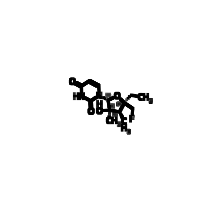 CC[C@@]1(CF)O[C@@H](n2ccc(=O)[nH]c2=O)[C@](C)(O)[C@@H]1C